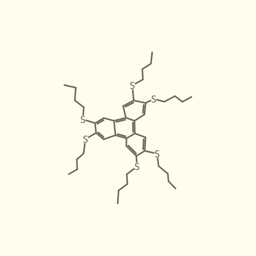 CCCCSc1cc2c3cc(SCCCC)c(SCCCC)cc3c3cc(SCCCC)c(SCCCC)cc3c2cc1SCCCC